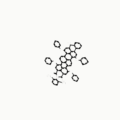 CC(C)c1cccc(C(C)C)c1N1C(=O)c2cc(Oc3ccccc3)c3c4ccc5c6c(Oc7ccccc7)cc7c8c(cc(Oc9ccccc9)c(c9ccc(c%10c(Oc%11ccccc%11)cc(c2c3%10)C1=O)c4c59)c86)-c1ccccc1C7=O